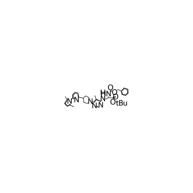 Cc1c(NCC(NC(=O)OCc2ccccc2)C(=O)OC(C)(C)C)ncnc1N1CCC(c2cccc(-n3c(C)ccc3C)n2)CC1